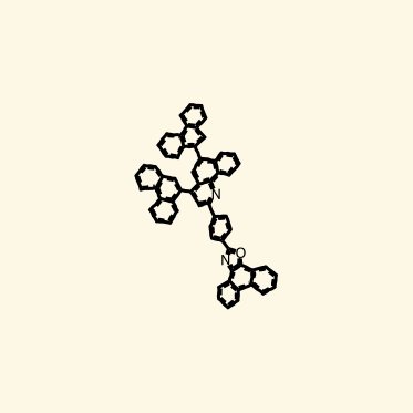 c1ccc2c(c1)cc(-c1cc3c(-c4cc5ccccc5c5ccccc45)cc(-c4ccc(-c5nc6c7ccccc7c7ccccc7c6o5)cc4)nc3c3ccccc13)c1ccccc12